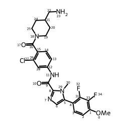 COc1ccc(-c2cnc(C(=O)Nc3ccc(C(=O)N4CCC(CN)CC4)c(Cl)c3)n2C)c(F)c1F